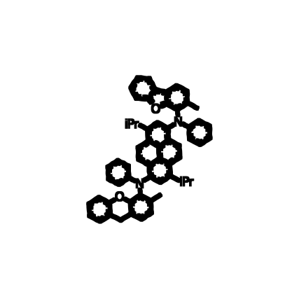 Cc1ccc2c(c1N(c1ccccc1)c1cc(C(C)C)c3ccc4c(N(c5ccccc5)c5c(C)ccc6c5oc5ccccc56)cc(C(C)C)c5ccc1c3c54)Oc1ccccc1C2